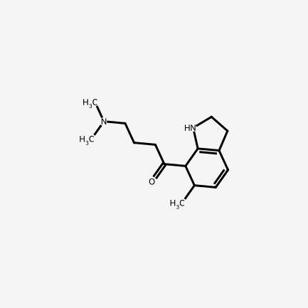 CC1C=CC2=C(NCC2)C1C(=O)CCCN(C)C